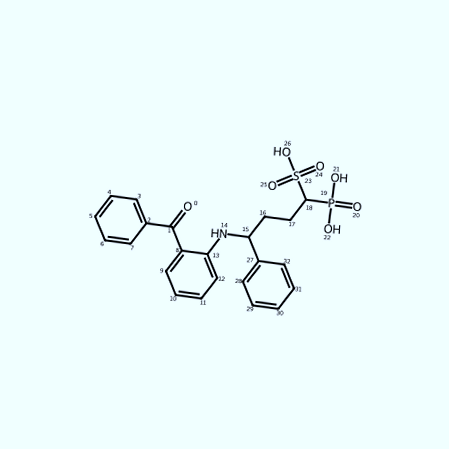 O=C(c1ccccc1)c1ccccc1NC(CCC(P(=O)(O)O)S(=O)(=O)O)c1ccccc1